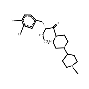 CCc1ccc(C[C@@H](NC(=O)O)C(=O)N2CCN(C3CCN(C)CC3)CC2)cc1CC